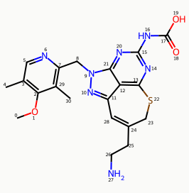 COc1c(C)cnc(Cn2nc3c4c(nc(NC(=O)O)nc42)SCC(CCN)=C3)c1C